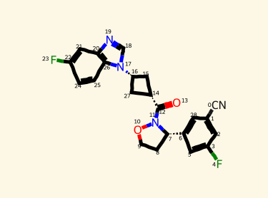 N#Cc1cc(F)cc([C@@H]2CCON2C(=O)[C@H]2C[C@@H](n3cnc4cc(F)ccc43)C2)c1